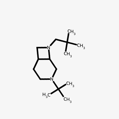 CC(C)(C)CN1CC2CCN(C(C)(C)C)CC21